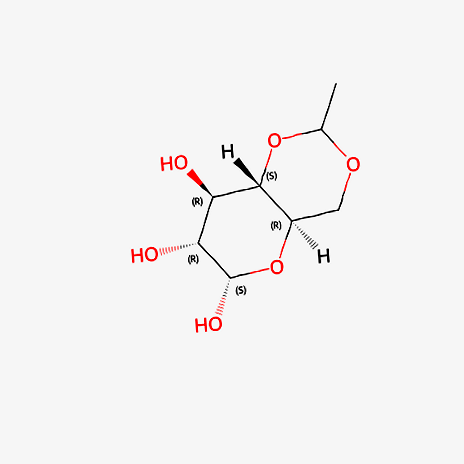 CC1OC[C@H]2O[C@H](O)[C@H](O)[C@@H](O)[C@@H]2O1